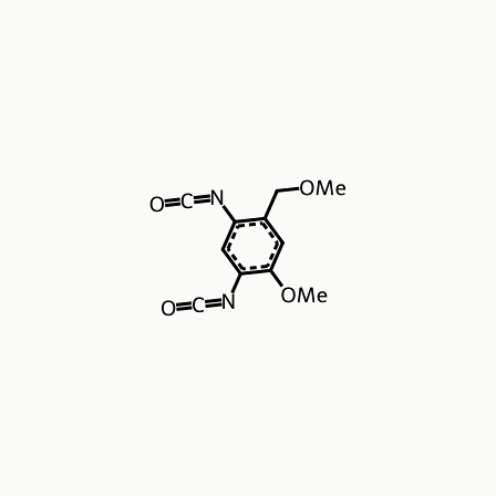 COCc1cc(OC)c(N=C=O)cc1N=C=O